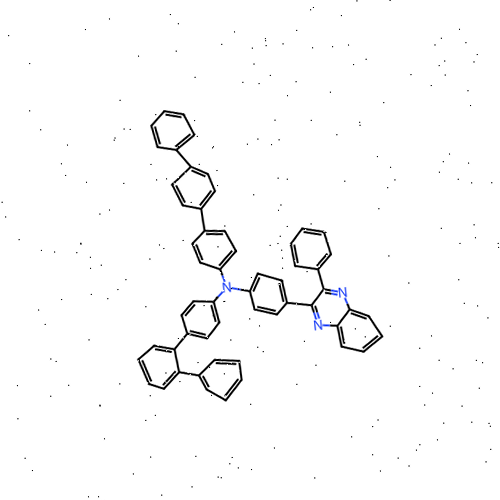 c1ccc(-c2ccc(-c3ccc(N(c4ccc(-c5ccccc5-c5ccccc5)cc4)c4ccc(-c5nc6ccccc6nc5-c5ccccc5)cc4)cc3)cc2)cc1